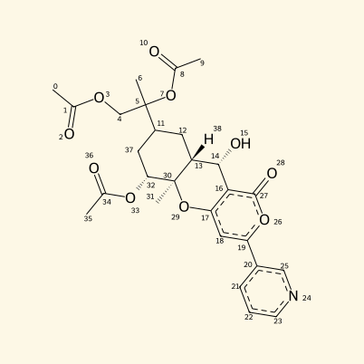 CC(=O)OCC(C)(OC(C)=O)C1C[C@@H]2[C@H](O)c3c(cc(-c4cccnc4)oc3=O)O[C@@]2(C)[C@H](OC(C)=O)C1